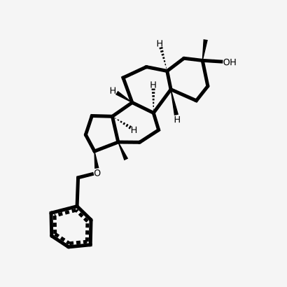 C[C@@]1(O)CC[C@H]2[C@@H](CC[C@@H]3[C@@H]2CC[C@]2(C)[C@@H](OCc4ccccc4)CC[C@@H]32)C1